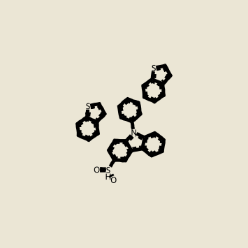 O=[SH](=O)c1ccc2c(c1)c1ccccc1n2-c1ccccc1.c1ccc2sccc2c1.c1ccc2sccc2c1